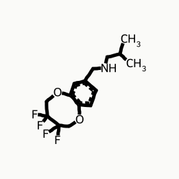 CC(C)CNCc1ccc2c(c1)OCC(F)(F)C(F)(F)CO2